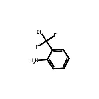 CCC(F)(F)c1ccccc1N